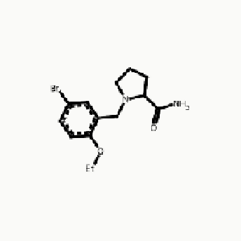 CCOc1ccc(Br)cc1CN1CC[CH]C1C(N)=O